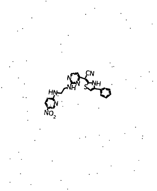 N#C/C(=C1\NC(c2ccccc2)=CS1)c1ccnc(NCCNc2ccc([N+](=O)[O-])cn2)n1